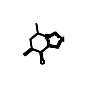 C=C1CC(C)n2cncc2C1=O